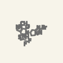 Cn1ncc(-c2nc(C(F)F)cs2)c1C(=O)NC1CCn2nc(Br)nc2C1